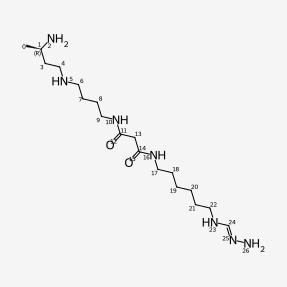 C[C@@H](N)CCNCCCCNC(=O)CC(=O)NCCCCCCNC=NN